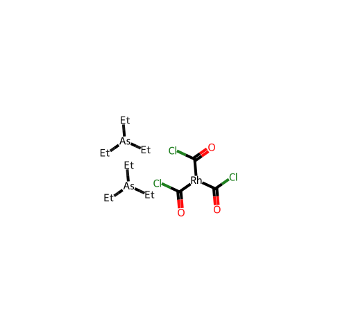 CC[As](CC)CC.CC[As](CC)CC.O=[C](Cl)[Rh]([C](=O)Cl)[C](=O)Cl